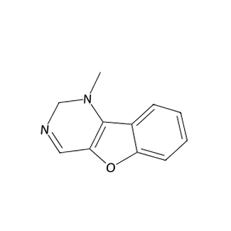 CN1CN=Cc2oc3ccccc3c21